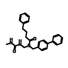 CNC(=O)NCN(Cc1ccc(-c2ccccc2)cc1)C(=O)CCCc1ccccc1